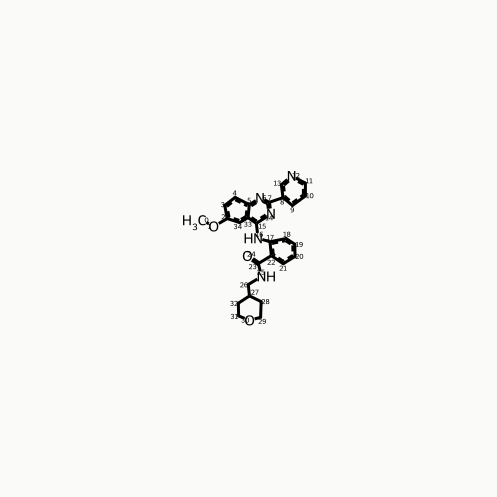 COc1ccc2nc(-c3cccnc3)nc(Nc3ccccc3C(=O)NCC3CCOCC3)c2c1